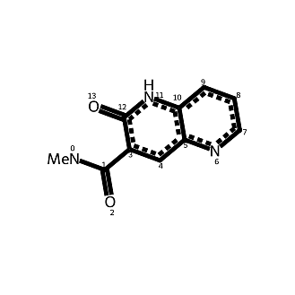 CNC(=O)c1cc2ncccc2[nH]c1=O